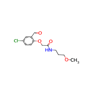 COCCCNC(=O)COc1ccc(Cl)cc1C=O